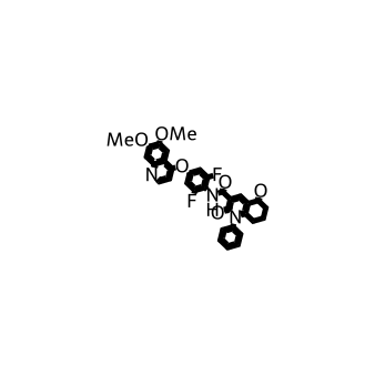 COc1cc2nccc(Oc3cc(F)c(NC(=O)c4cc5c(n(-c6ccccc6)c4=O)CCCC5=O)c(F)c3)c2cc1OC